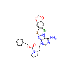 Nc1ncn(CCC2CCCN2C(=O)OCc2ccccc2)c2nc(Sc3cc4c(cc3Br)OCO4)nc1-2